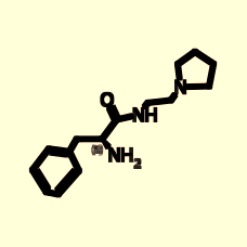 N[C@@H](Cc1ccccc1)C(=O)NCCN1CCCC1